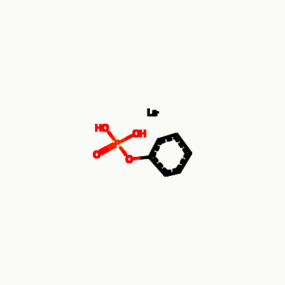 O=P(O)(O)Oc1ccccc1.[La]